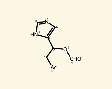 CC(=O)CC(OC=O)c1cnc[nH]1